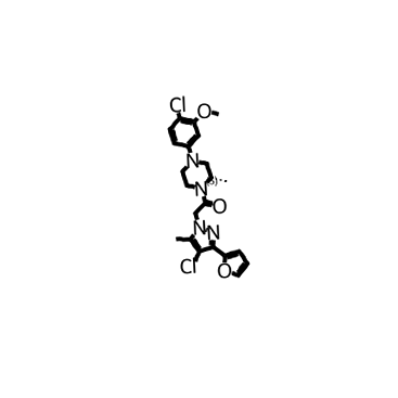 COc1cc(N2CCN(C(=O)Cn3nc(-c4ccco4)c(Cl)c3C)[C@@H](C)C2)ccc1Cl